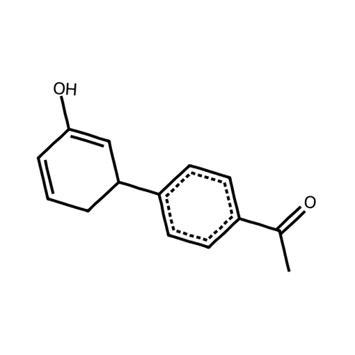 CC(=O)c1ccc(C2C=C(O)C=CC2)cc1